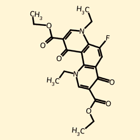 CCOC(=O)c1cn(CC)c2c(cc(F)c3c2c(=O)c(C(=O)OCC)cn3CC)c1=O